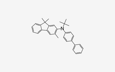 Cc1cc2c(cc1N(c1ccc(-c3ccccc3)cc1)C(C)(C)C)C(C)(C)c1ccccc1-2